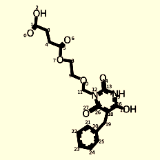 O=C(O)CCC(=O)OCCOCn1c(=O)[nH]c(O)c(Cc2ccccc2)c1=O